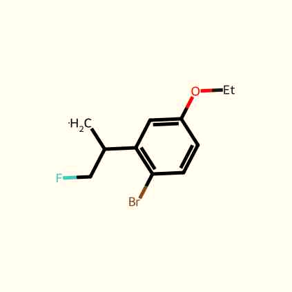 [CH2]C(CF)c1cc(OCC)ccc1Br